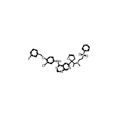 CC(N(C)CCS(=O)(=O)c1ccccc1)C1(c2cc3c(Nc4ccc(OCc5cccc(F)c5)c(Cl)c4)ncnc3cn2)CC=CO1